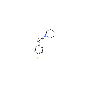 Fc1ccc([C@@H]2C[C@H]2N2CCCCC2)cc1F